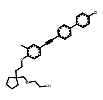 Cc1cc(C#Cc2ccc(-c3ccc(Cl)cc3)cn2)ccc1OCCC1(CNCCO)CCCC1